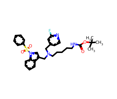 CC(C)(C)OC(=O)NCCCCCN(Cc1ccnc(F)c1)Cc1cn(S(=O)(=O)c2ccccc2)c2ccccc12